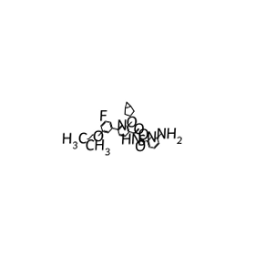 CC(C)COc1cc(F)cc(-c2ccc(C(=O)NS(=O)(=O)c3cccc(N)n3)c(OC3CC4CC4C3)n2)c1